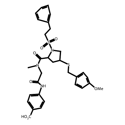 COc1ccc(CSC2CC(C(=O)N(C)CC(=O)Nc3ccc(C(=O)O)cc3)N(S(=O)(=O)CCc3ccccc3)C2)cc1